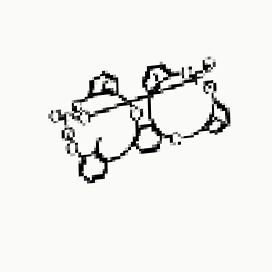 Cc1c2cccc1OOP1(=O)Oc3cccc(c3C)COc3c(ccc4c3Cc3cccc(c3C)OP(=O)(Oc3cccc(c3C)CO4)O1)C2